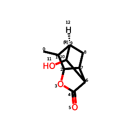 CC1C2OC(=O)C3C2C[C@H]1C3O